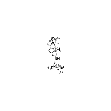 CCC[C@@H](C)[C@H]1CCC2C3CCC4CC(NCCC[N+](C)(C)CC(C)O)CC[C@]4(C)C3CC[C@@]21C